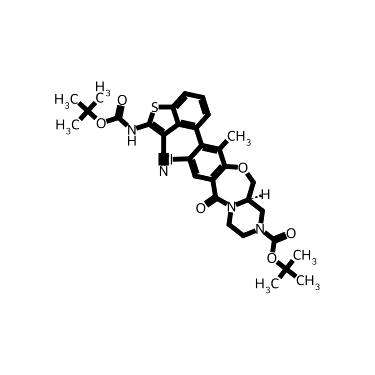 Cc1c2c(cc(Cl)c1-c1cccc3sc(NC(=O)OC(C)(C)C)c(C#N)c13)C(=O)N1CCN(C(=O)OC(C)(C)C)C[C@@H]1CO2